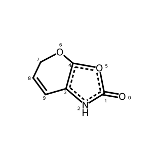 O=c1[nH]c2c(o1)OCC=C2